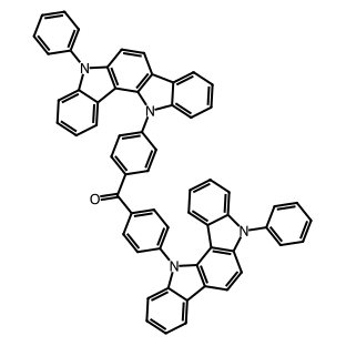 O=C(c1ccc(-n2c3ccccc3c3ccc4c(c5ccccc5n4-c4ccccc4)c32)cc1)c1ccc(-n2c3ccccc3c3ccc4c(c5ccccc5n4-c4ccccc4)c32)cc1